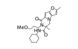 COCCCN1C(=O)c2cc3oc(C)cc3n2CC1(C)C(=O)NC1CCCCC1